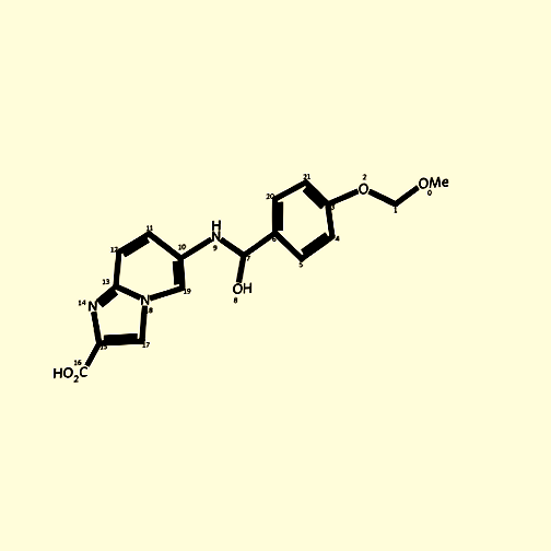 COCOc1ccc(C(O)Nc2ccc3nc(C(=O)O)cn3c2)cc1